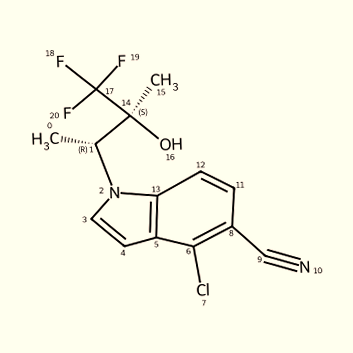 C[C@@H](n1ccc2c(Cl)c(C#N)ccc21)[C@](C)(O)C(F)(F)F